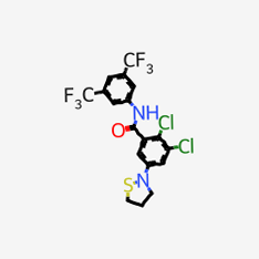 O=C(Nc1cc(C(F)(F)F)cc(C(F)(F)F)c1)c1cc(N2CCCS2)cc(Cl)c1Cl